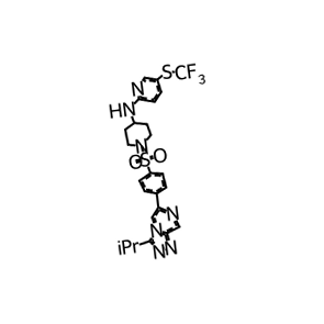 CC(C)c1nnc2cnc(-c3ccc(S(=O)(=O)N4CCC(Nc5ccc(SC(F)(F)F)cn5)CC4)cc3)cn12